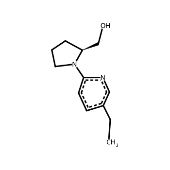 CCc1ccc(N2CCC[C@H]2CO)nc1